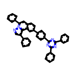 c1ccc(-c2nc(-c3ccccc3)nc(-c3ccc(-c4ccc5cc(-c6ccccc6)n6ncc(-c7ccccc7)c6c5c4)cc3)n2)cc1